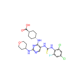 O=C(O)[C@H]1CC[C@H](Nc2nc(NC3CCOCC3)ncc2NC(=S)Nc2c(F)cc(Cl)cc2Cl)CC1